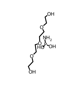 NP(O)O.OCCOCCOCCOCCO